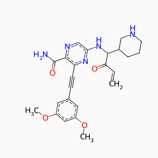 C=CC(=O)C(Nc1cnc(C(N)=O)c(C#Cc2cc(OC)cc(OC)c2)n1)C1CCCNC1